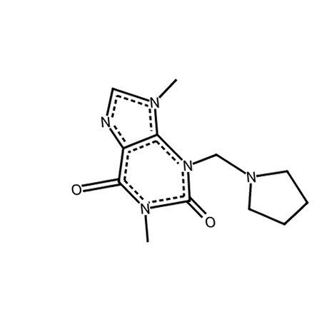 Cn1c(=O)c2ncn(C)c2n(CN2CCCC2)c1=O